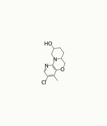 Cc1c(Cl)cnc2c1OCC1CCC(O)CN21